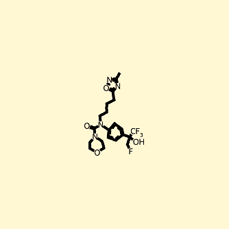 Cc1noc(CCCCN(C(=O)N2CCOCC2)c2ccc(C(O)(CF)C(F)(F)F)cc2)n1